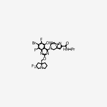 COc1c(F)c(Br)c(F)c2nc(OC[C@@]34CCCN3C[C@H](F)C4)nc(N3CCn4nc(C(=O)NC(C)C)cc4C3)c12